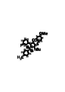 CCCCC1[C@@H](Sc2ccc(OC)cc2)[C@@H](C(=O)O)C(c2cccc(F)c2)N1S(=O)(=O)c1ccc(C)cc1